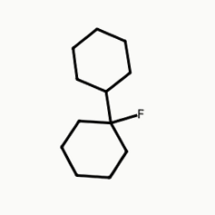 FC1(C2CCCCC2)CCCCC1